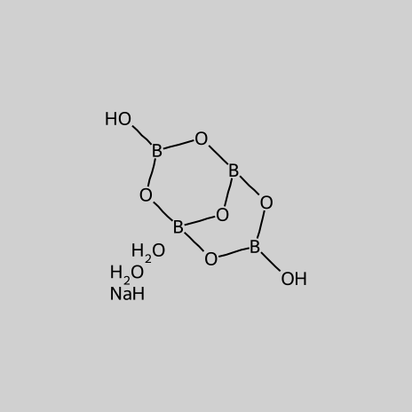 O.O.OB1OB2OB(O)OB(O1)O2.[NaH]